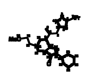 C=C(Cc1nnc(C(C)C)s1)c1cn(CCOC)cc2c(=O)n(-c3ccccc3)nc1-2